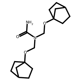 NC(=O)N(COC12CCC(CC1)C2)COC12CCC(CC1)C2